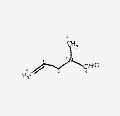 C=CCN(C)C=O